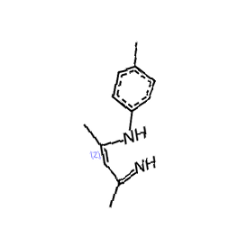 CC(=N)/C=C(/C)Nc1ccc(C)cc1